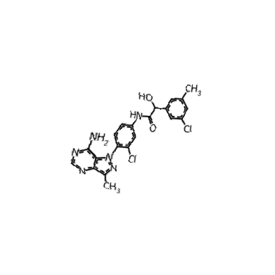 Cc1cc(Cl)cc(C(O)C(=O)Nc2ccc(-n3nc(C)c4ncnc(N)c43)c(Cl)c2)c1